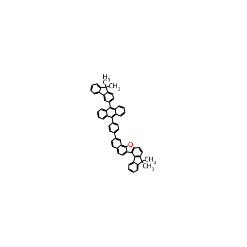 CC1(C)c2ccccc2-c2cc(-c3c4ccccc4c(-c4ccc(-c5ccc6ccc7c(oc8ccc9c(c87)-c7ccccc7C9(C)C)c6c5)cc4)c4ccccc34)ccc21